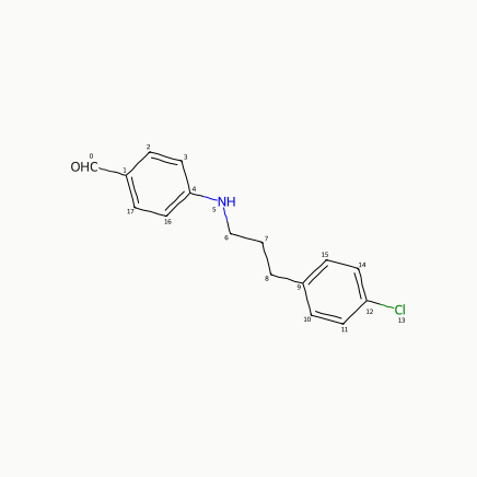 O=Cc1ccc(NCCCc2ccc(Cl)cc2)cc1